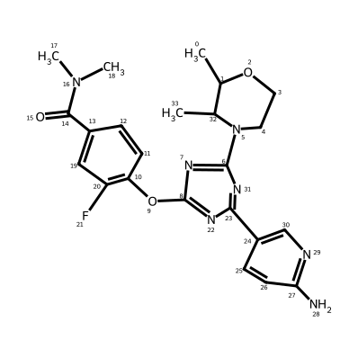 CC1OCCN(c2nc(Oc3ccc(C(=O)N(C)C)cc3F)nc(-c3ccc(N)nc3)n2)C1C